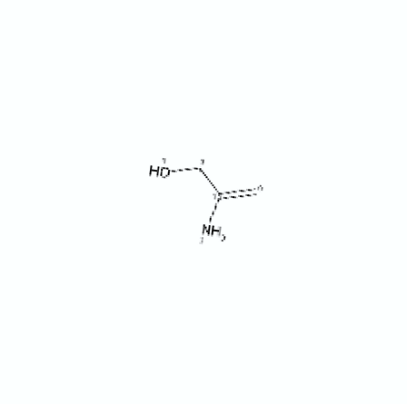 C=C(N)[CH]O